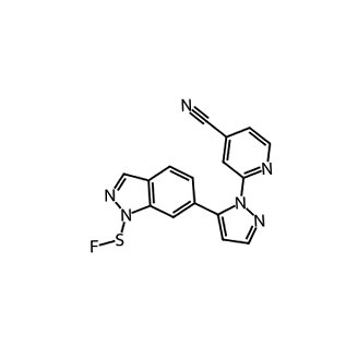 N#Cc1ccnc(-n2nccc2-c2ccc3cnn(SF)c3c2)c1